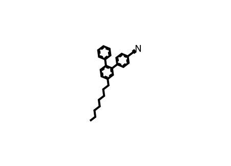 CCCCCCCCc1ccc(-c2ccccc2)c(-c2ccc(C#N)cc2)c1